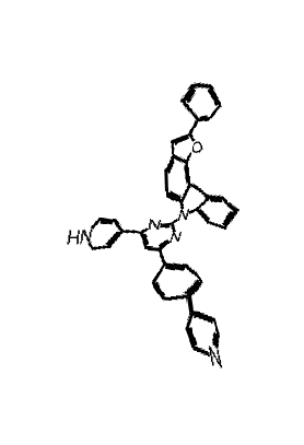 C1=CC(c2cc(-c3ccc(-c4ccncc4)cc3)nc(-n3c4ccccc4c4c5oc(-c6ccccc6)cc5ccc43)n2)=CCN1